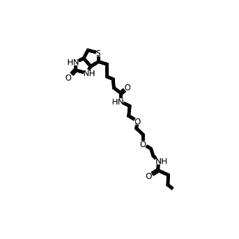 CCCC(=O)NCCOCCOCCNC(=O)CCCCC1SCC2NC(=O)NC21